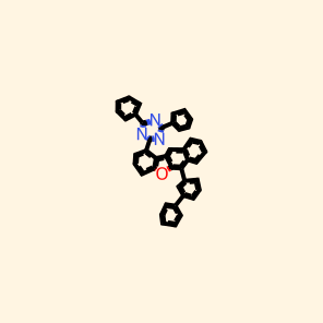 c1ccc(-c2cccc(-c3c4ccccc4cc4c3oc3cccc(-c5nc(-c6ccccc6)nc(-c6ccccc6)n5)c34)c2)cc1